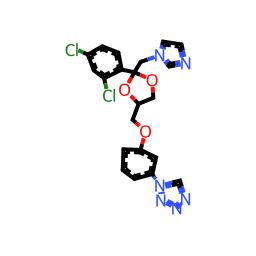 Clc1ccc(C2(Cn3ccnc3)OCC(COc3cccc(-n4cnnn4)c3)O2)c(Cl)c1